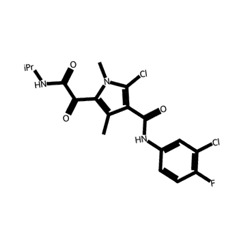 Cc1c(C(=O)Nc2ccc(F)c(Cl)c2)c(Cl)n(C)c1C(=O)C(=O)NC(C)C